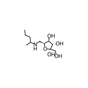 CCCC(C)NC[C@@H]1O[C@](O)(CO)[C@@H](O)[C@@H]1O